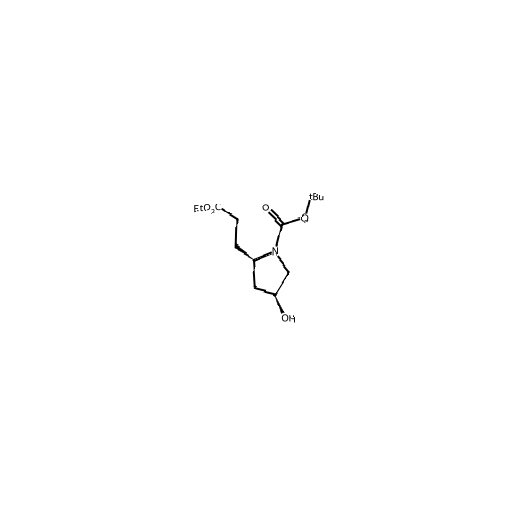 CCOC(=O)CC[C@@H]1C[C@H](O)CN1C(=O)OC(C)(C)C